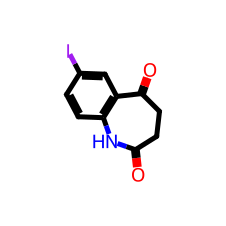 O=C1CCC(=O)c2cc(I)ccc2N1